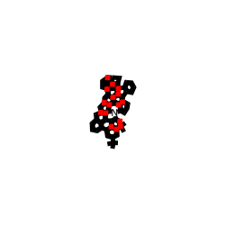 CC(C)(C)c1cc(-c2cccc3cccc(-c4ccccc4N(c4ccccc4-c4ccc5c(c4)C4(c6ccccc6-5)C5CC6CC7CC4C675)c4ccccc4-c4cccc5c4ccc4ccccc45)c23)cc(C(C)(C)C)c1